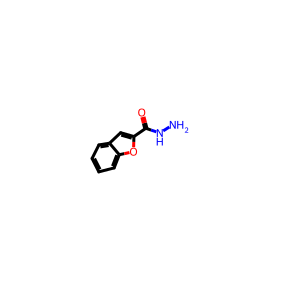 NNC(=O)c1cc2ccccc2o1